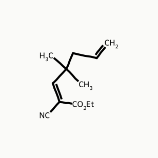 C=CCC(C)(C)C=C(C#N)C(=O)OCC